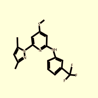 CSc1cc(Nc2cccc(C(F)(F)F)c2)nc(-n2nc(C)cc2C)c1